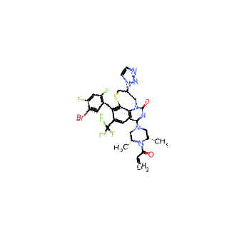 C=CC(=O)N1[C@H](C)CN(c2nc(=O)n3c4c(c(-c5cc(Br)c(F)cc5F)c(C(F)(F)F)cc24)SCC(n2ccnn2)C3)C[C@@H]1C